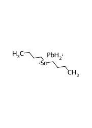 CCC[CH2][Sn][CH2]CCC.[PbH2]